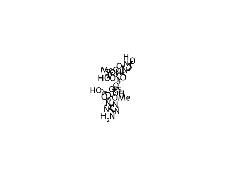 COC1C(OP(O)(O)=S)[C@@H](COP(O)(=S)OC2C(OC)[C@H](n3cnc4c(N)ncnc43)O[C@@H]2CO)O[C@H]1n1ccc(=O)[nH]c1=O